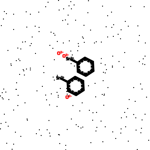 [O-2].[O-2].[O-2].[Sn+3][c]1ccccc1.[Sn+3][c]1ccccc1